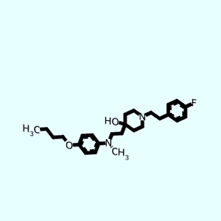 CCCCOc1ccc(N(C)CCC2(O)CCN(CCc3ccc(F)cc3)CC2)cc1